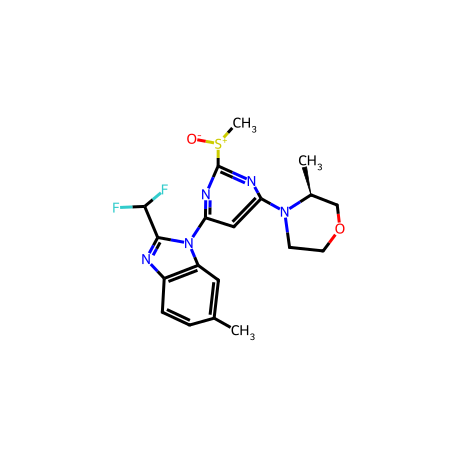 Cc1ccc2nc(C(F)F)n(-c3cc(N4CCOC[C@@H]4C)nc([S+](C)[O-])n3)c2c1